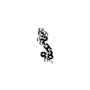 COc1ccccc1Oc1ccccc1CN1CCC2(CC1)CCN(C(=O)c1ccc(=O)n(OC(=O)C(F)(F)F)c1C(F)(F)F)CC2